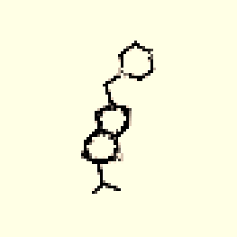 CC(C)c1ccc2cc(CN3CCSCC3)ccc2n1